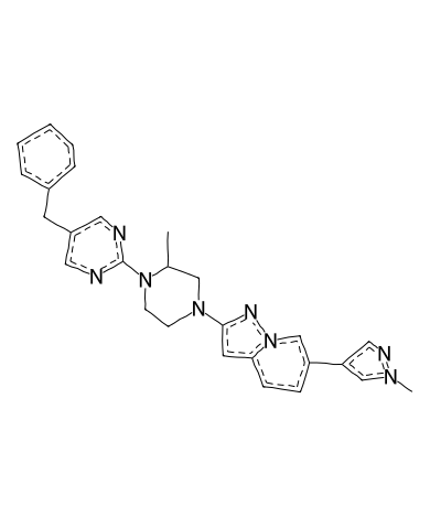 CC1CN(c2cc3ccc(-c4cnn(C)c4)cn3n2)CCN1c1ncc(Cc2ccccc2)cn1